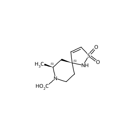 C[C@H]1C[C@]2(C=CS(=O)(=O)N2)CCN1C(=O)O